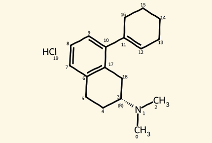 CN(C)[C@@H]1CCc2cccc(C3=CCCCC3)c2C1.Cl